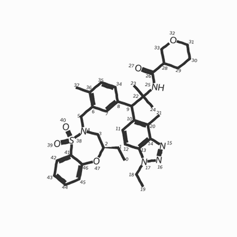 CC[C@@H]1CN(Cc2cc(C(c3ccc4c(nnn4CC)c3C)C(C)(C)NC(=O)C3CCCOC3)ccc2C)S(=O)(=O)c2ccccc2O1